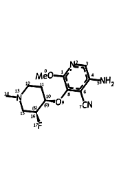 COc1ncc(N)c(C#N)c1O[C@@H]1CCN(C)C[C@@H]1F